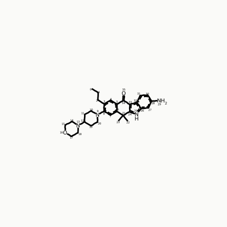 CCCc1cc2c(cc1N1CCC(N3CCOCC3)CC1)C(C)(C)c1[nH]c3cc(N)ccc3c1C2=O